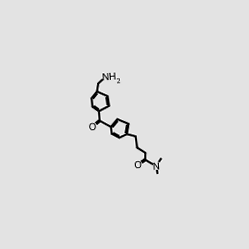 CN(C)C(=O)CCCc1ccc(C(=O)c2ccc(CN)cc2)cc1